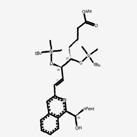 CCCCC[C@@H](O)c1nc(/C=C/[C@@H](O[Si](C)(C)C(C)(C)C)[C@H](CCCC(=O)OC)O[Si](C)(C)C(C)(C)C)cc2ccccc12